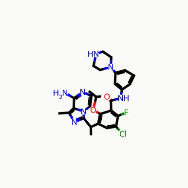 Cc1nc(C(C)c2cc(Cl)c(F)c(C(=O)Nc3cccc(N4CCNCC4)c3)c2OC(C)C)n2ccnc(N)c12